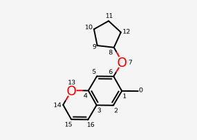 Cc1cc2c(cc1OC1CCCC1)OCC=C2